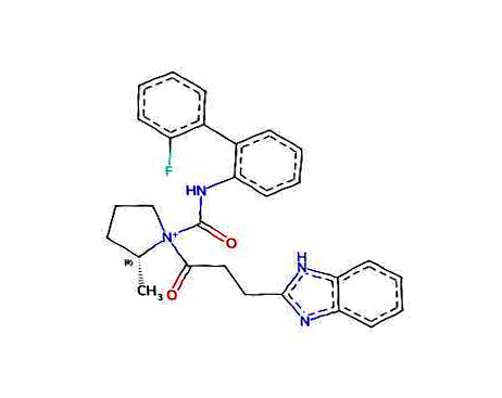 C[C@@H]1CCC[N+]1(C(=O)CCc1nc2ccccc2[nH]1)C(=O)Nc1ccccc1-c1ccccc1F